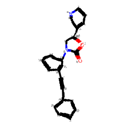 O=C1O[C@H](c2cccnc2)CN1c1cccc(C#Cc2ccccc2)c1